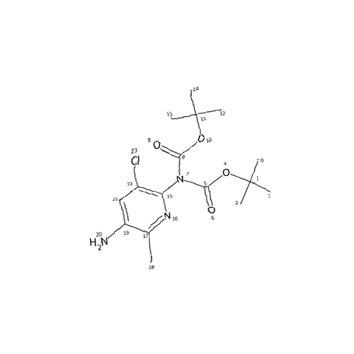 CC(C)(C)OC(=O)N(C(=O)OC(C)(C)C)c1nc(I)c(N)cc1Cl